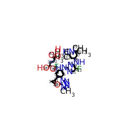 Cn1nnn(-c2cc(Nc3ncc(F)c(NC4CC(C)(C)NC(C)(C)C4)n3)c(F)cc2C2CC2)c1=O.O=C(O)/C=C/C(=O)O